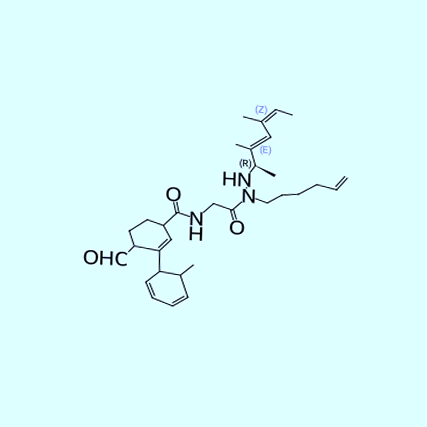 C=CCCCCN(N[C@H](C)/C(C)=C/C(C)=C\C)C(=O)CNC(=O)C1C=C(C2C=CC=CC2C)C(C=O)CC1